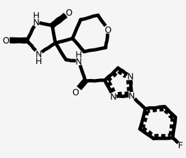 O=C1NC(=O)C(CNC(=O)c2cnn(-c3ccc(F)cc3)n2)(C2CCOCC2)N1